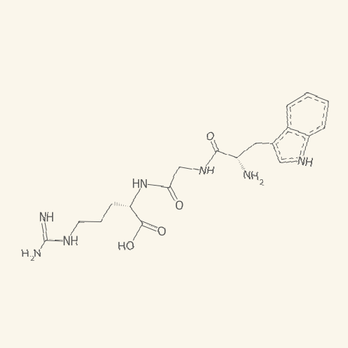 N=C(N)NCCC[C@H](NC(=O)CNC(=O)[C@@H](N)Cc1c[nH]c2ccccc12)C(=O)O